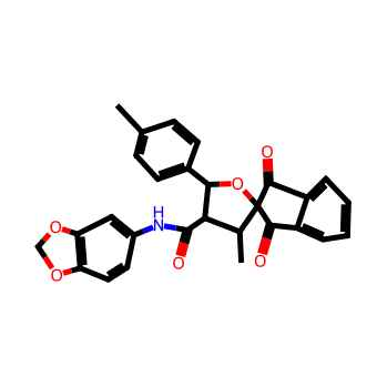 Cc1ccc(C2OC3(C(=O)c4ccccc4C3=O)C(C)C2C(=O)Nc2ccc3c(c2)OCO3)cc1